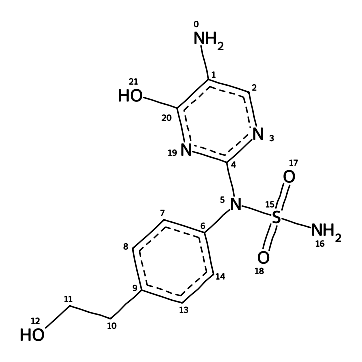 Nc1cnc(N(c2ccc(CCO)cc2)S(N)(=O)=O)nc1O